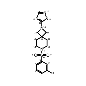 Cc1cccc(S(=O)(=O)N2CCC3(CC2)CN(c2ncns2)C3)c1